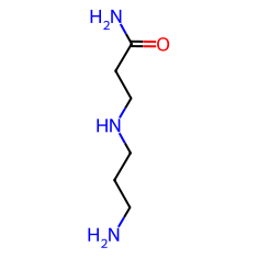 NCCCNCCC(N)=O